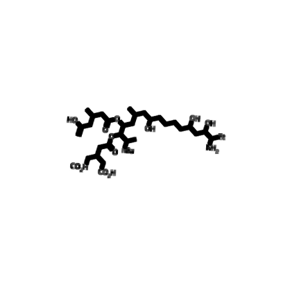 C=C(O)CC(C)CC(=O)OC(CC(C)CC(O)CCCCC(O)CC(O)C(N)CC)C(OC(=O)CC(CC(=O)O)CC(=O)O)C(C)CCCC